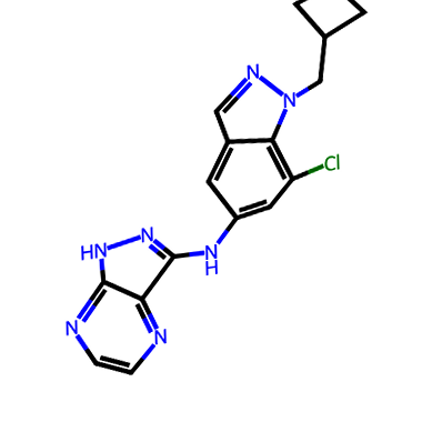 Clc1cc(Nc2n[nH]c3nccnc23)cc2cnn(CC3CCC3)c12